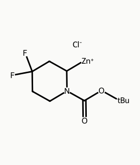 CC(C)(C)OC(=O)N1CCC(F)(F)C[CH]1[Zn+].[Cl-]